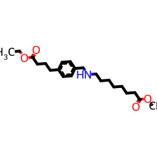 CCOC(=O)CCCc1ccc(CNCCCCCCCC(=O)OC)cc1